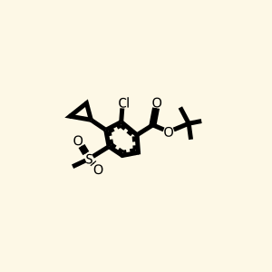 CC(C)(C)OC(=O)c1ccc(S(C)(=O)=O)c(C2CC2)c1Cl